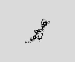 C=N/N=C\N(N)c1ccc(Cl)cc1/C=C/C(=O)N[C@H]1CCCCCC(=O)Nc2cc(NC(=O)OC)ccc2-c2c[nH]c1n2